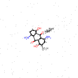 Nc1ccc(O)c2c1C(=O)c1c(O)c(S(=O)(=O)O)cc(N)c1C2=O.[NaH].[NaH].[NaH]